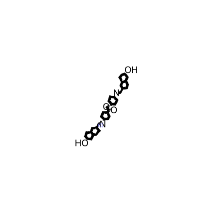 O=S(=O)(c1ccc(N=Cc2ccc3cc(O)ccc3c2)cc1)c1ccc(/N=C/c2ccc3cc(O)ccc3c2)cc1